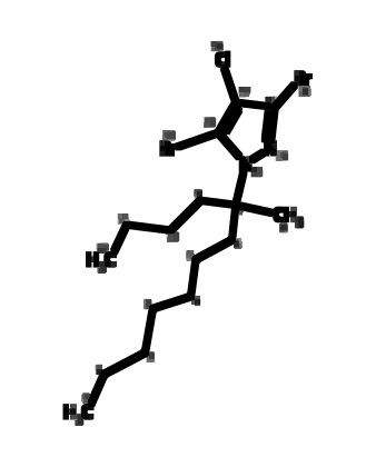 CCCCCCCC(C)(CCCC)n1nc(Br)c(Cl)c1Br